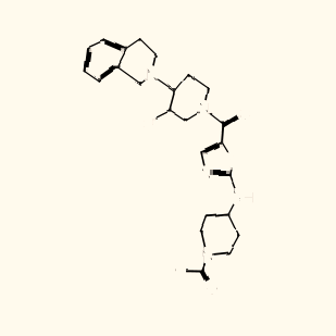 CC(=O)N1CCC(Nc2ncc(C(=O)N3CCC(N4CCc5ccccc5C4)C(O)C3)s2)CC1